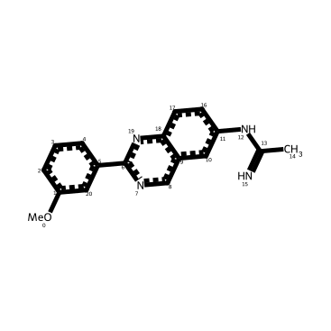 COc1cccc(-c2ncc3cc(NC(C)=N)ccc3n2)c1